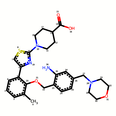 Cc1cccc(-c2csc(N3CCC(C(=O)O)CC3)n2)c1OCc1ccc(CN2CCOCC2)cc1N